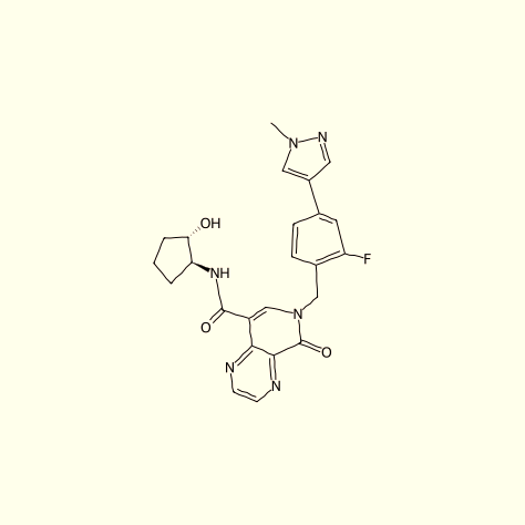 Cn1cc(-c2ccc(Cn3cc(C(=O)N[C@H]4CCC[C@@H]4O)c4nccnc4c3=O)c(F)c2)cn1